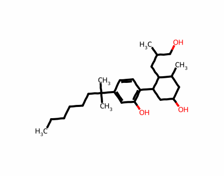 CCCCCCC(C)(C)c1ccc(C2CC(O)CC(C)C2CC(C)CO)c(O)c1